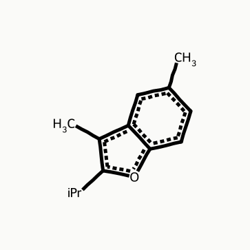 Cc1ccc2oc(C(C)C)c(C)c2c1